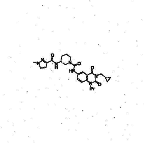 CC(C)n1c(=O)n(CC2CC2)c(=O)c2cc(NC(=O)N3CCCC(NC(=O)c4ccn(C)n4)C3)ccc21